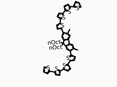 CCCCCCCCC1(CCCCCCCC)c2cc(-c3ccc(-c4ccc(-c5ccc(-c6cccs6)s5)s4)s3)c(C)cc2-c2cc(C)c(-c3ccc(-c4ccc(-c5ccc(-c6cccs6)s5)s4)s3)cc21